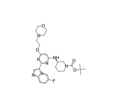 CC(C)(C)OC(=O)N1CCC[C@@H](Nc2cc(OCCN3CCOCC3)nc(-c3cnc4ccc(F)cn34)n2)C1